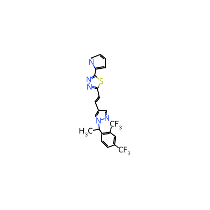 CC(c1ccc(C(F)(F)F)cc1C(F)(F)F)n1cc(/C=C/c2nnc(-c3ccccn3)s2)cn1